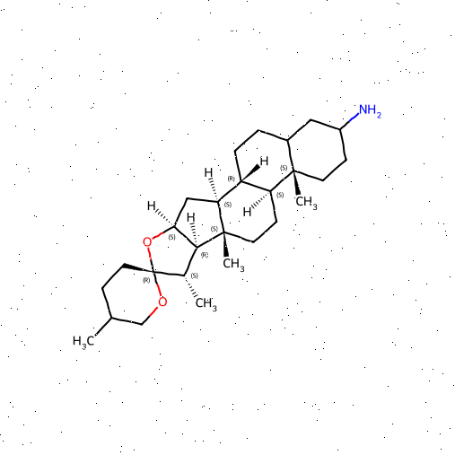 CC1CC[C@@]2(OC1)O[C@H]1C[C@H]3[C@@H]4CCC5CC(N)CC[C@]5(C)[C@H]4CC[C@]3(C)[C@H]1[C@@H]2C